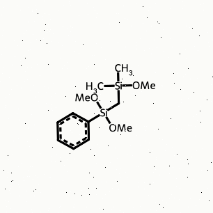 CO[Si](C)(C)C[Si](OC)(OC)c1ccccc1